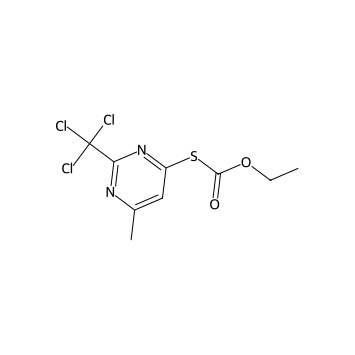 CCOC(=O)Sc1cc(C)nc(C(Cl)(Cl)Cl)n1